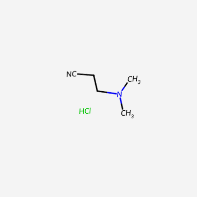 CN(C)CCC#N.Cl